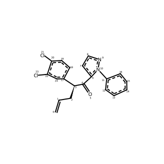 C=CC[C@H](C(=O)c1ccnn1-c1ccccc1)c1ccc(Cl)c(Cl)c1